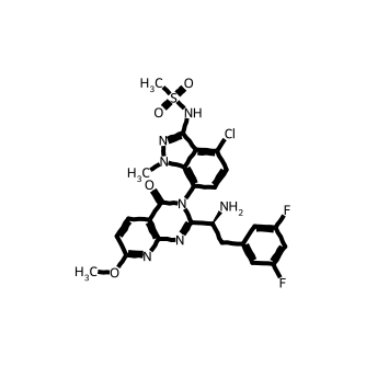 COc1ccc2c(=O)n(-c3ccc(Cl)c4c(NS(C)(=O)=O)nn(C)c34)c([C@@H](N)Cc3cc(F)cc(F)c3)nc2n1